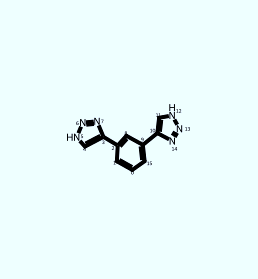 c1cc(-c2c[nH]nn2)cc(-c2c[nH]nn2)c1